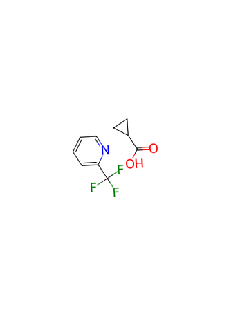 FC(F)(F)c1ccccn1.O=C(O)C1CC1